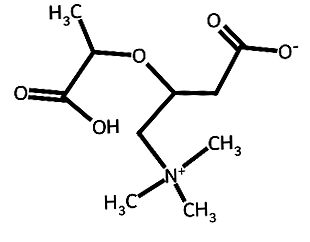 CC(OC(CC(=O)[O-])C[N+](C)(C)C)C(=O)O